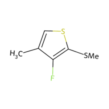 CSc1scc(C)c1F